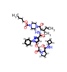 CCCCOC(=O)N1CCN(C(=O)[C@@H](NC(=O)c2cc(OCC(=O)N3CCCC3C(=O)NC3CCC3)n(-c3ccccc3)n2)[C@@H](C)CC)CC1